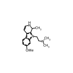 COc1ccc2c3c(n(CCN(C)C)c2c1)C(C)NC=C3